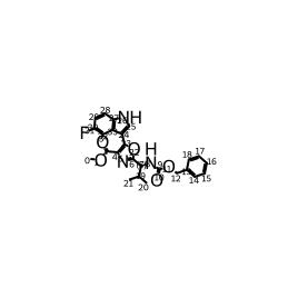 COC(=O)c1nc([C@@H](NC(=O)OCc2ccccc2)C(C)C)oc1-c1c[nH]c2ccc(F)cc12